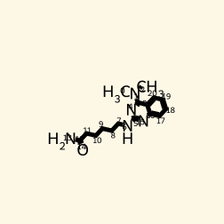 CN(C)c1nc(NCCCCCC(N)=O)nc2ccccc12